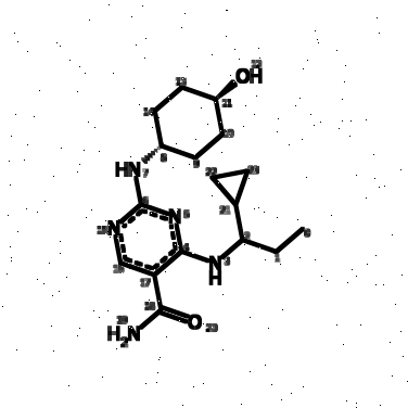 CCC(Nc1nc(N[C@H]2CC[C@H](O)CC2)ncc1C(N)=O)C1CC1